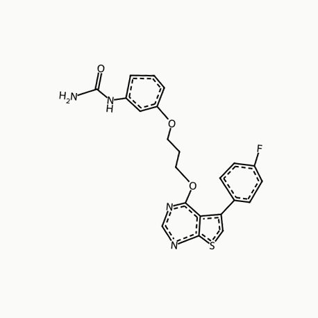 NC(=O)Nc1cccc(OCCCOc2ncnc3scc(-c4ccc(F)cc4)c23)c1